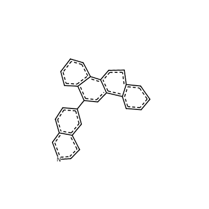 c1ccc2c(c1)ccc1c3ccccc3c(-c3ccc4cnccc4c3)cc21